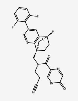 N#CCCN(C[C@@]12CCC[C@@H](CC1)c1cc(-c3c(F)cccc3F)nnc12)C(=O)c1c[nH]c(=O)cn1